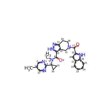 Cc1cnc(C2(N(C)C(=O)c3[nH]nc4c3CN(C(=O)c3cc5ccccc5[nH]3)CC4)CC2)nc1